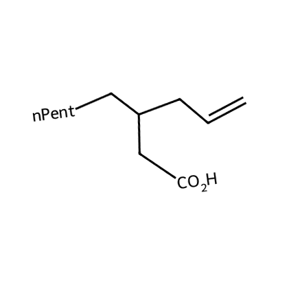 C=CCC(CCCCCC)CC(=O)O